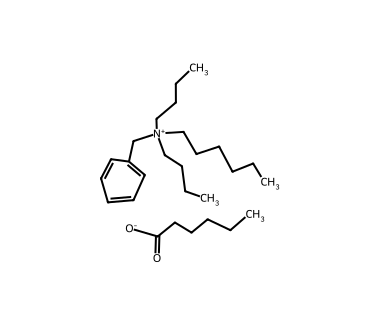 CCCCCC(=O)[O-].CCCCCC[N+](CCCC)(CCCC)Cc1ccccc1